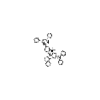 C[Si]1(C)c2cc(-c3nc(-c4ccccc4)cc(-c4ccccc4)n3)ccc2-n2c3ccc4ccccc4c3c3cc(N(c4ccccc4)c4ccccc4)cc1c32